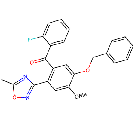 COc1cc(-c2noc(C)n2)c(C(=O)c2ccccc2F)cc1OCc1ccccc1